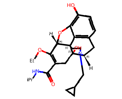 CCOC1=C(C(=O)NC(C)C)C[C@@]2(O)[C@H]3Cc4ccc(O)c5c4[C@@]2(CCN3CC2CC2)[C@H]1O5